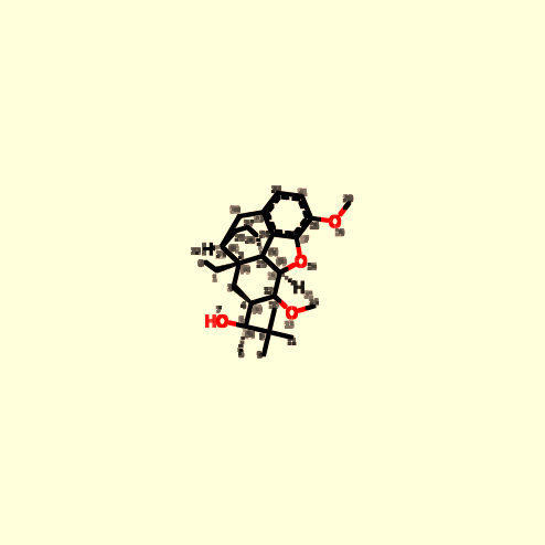 CC[C@]12C[C@H]([C@](C)(O)C(C)(C)C)C(OC)[C@@H]3Oc4c(OC)ccc5c4[C@@]31CCC[C@@H]2C5